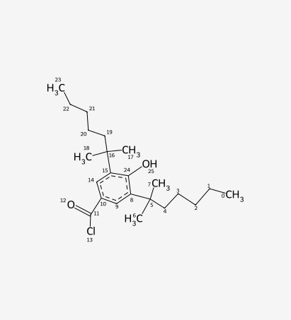 CCCCCC(C)(C)c1cc(C(=O)Cl)cc(C(C)(C)CCCCC)c1O